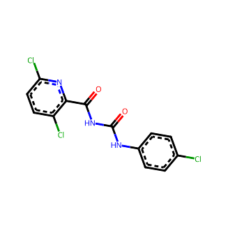 O=C(NC(=O)c1nc(Cl)ccc1Cl)Nc1ccc(Cl)cc1